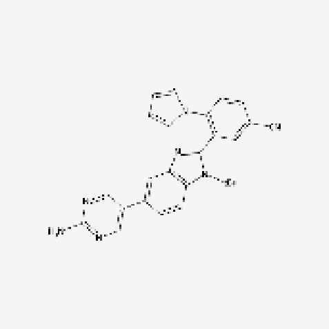 CC(C)(C)n1c(-c2cc(C#N)ccc2-n2cccn2)nc2cc(-c3cnc(N)nc3)ccc21